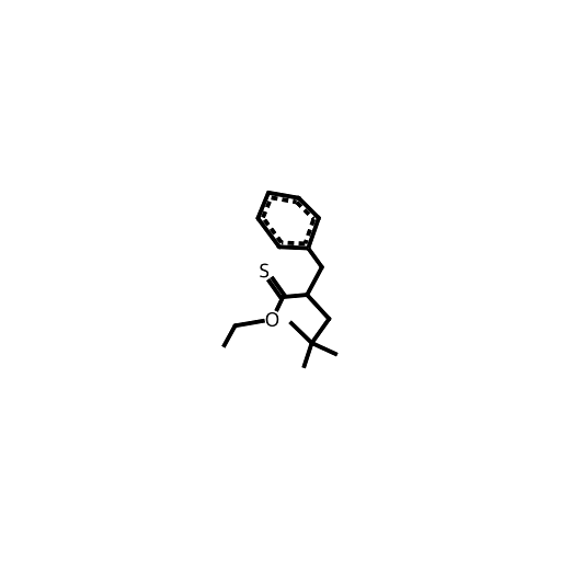 CCOC(=S)C(Cc1ccccc1)CC(C)(C)C